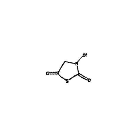 CCN1CC(=O)SC1=O